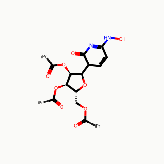 CC(C)C(=O)OC[C@H]1OC(C2C=CC(NO)=NC2=O)[C@H](OC(=O)C(C)C)[C@@H]1OC(=O)C(C)C